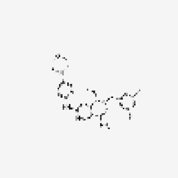 COC(NCc1cc(F)cc(F)c1)c1cc(Nc2ccc(N3CCOCC3)cc2)ncc1C(N)=O